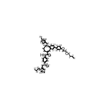 CCCCOCCOc1ccc(-c2ccc3c(c2)/C=C(/C(=O)Nc2ccc([S@@+]([O-])Cc4cncn4CCC)cc2)CCCN3Cc2cnn(C)c2)cc1